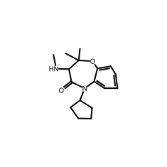 CNC1C(=O)N(C2CCCC2)c2ccccc2OC1(C)C